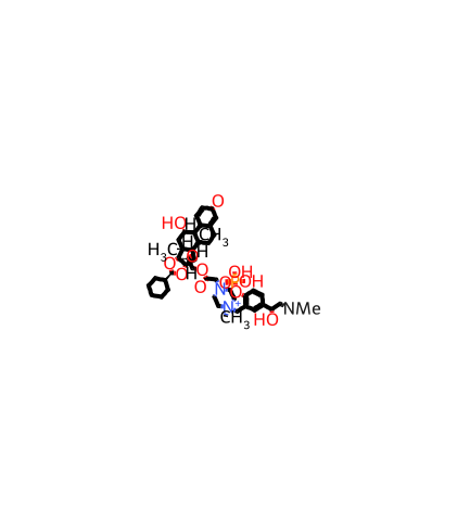 CNCC(O)c1ccc(OP(=O)(O)O)c(C[N+]2(C)CCN(CC(=O)OCC(=O)[C@@]34O[C@H](C5CCCCC5)O[C@@H]3C[C@H]3[C@@H]5CCC6=CC(=O)C=C[C@]6(C)[C@H]5[C@@H](O)C[C@@]34C)CC2)c1